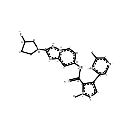 Cc1cncc(-c2cnn(C)c2C(=O)Nc2ccn3nc(N4CCC(F)C4)nc3c2)n1